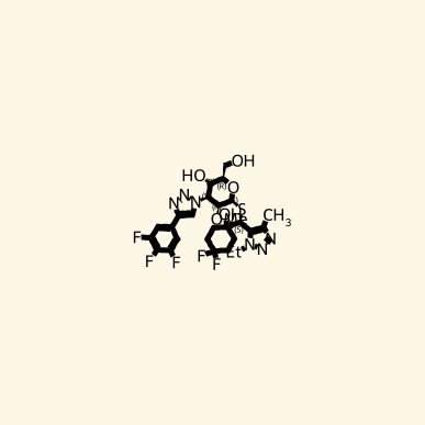 CCn1nnc(C)c1[C@H](S[C@@H]1O[C@H](CO)[C@H](O)[C@H](n2cc(-c3cc(F)c(F)c(F)c3)nn2)[C@H]1OC)C1(O)CCC(F)(F)CC1